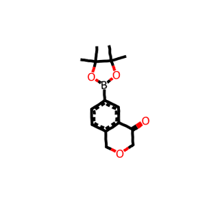 CC1(C)OB(c2ccc3c(c2)C(=O)COC3)OC1(C)C